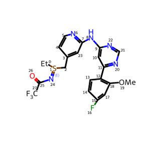 CC/S(Cc1ccnc(Nc2cc(-c3ccc(F)cc3OC)ncn2)c1)=N\C(=O)C(F)(F)F